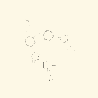 C[C@H]1CC(=O)N(Cc2ccc(-c3nc([C@H]4CC(=O)N(C5CC5)C4)no3)cc2Oc2ccc(-c3nnc(C(C)(C)F)s3)cc2)C1